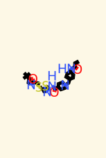 C=CC(=O)Nc1ccc(CN2CCC(C(=O)Nc3ncc(SCc4ncc(C(C)(C)C)o4)s3)CC2)cc1